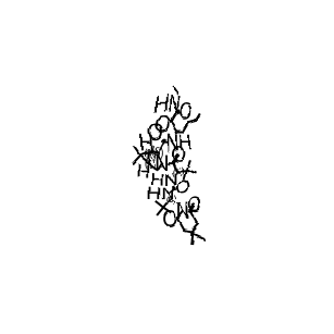 CCCCC(NC(=O)[C@@H]1[C@@H]2[C@H](CN1C(=O)[C@@H](NC(=O)N[C@H](CN1C(=O)CC(C)(C)CC1=O)C(C)(C)C)C(C)(C)C)C2(C)C)C(=O)C(=O)NCC